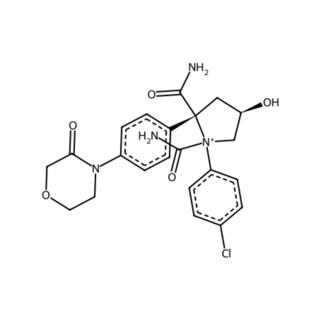 NC(=O)[C@]1(c2ccc(N3CCOCC3=O)cc2)C[C@@H](O)C[N+]1(C(N)=O)c1ccc(Cl)cc1